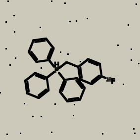 [18F]c1ccc(C[PH](c2ccccc2)(c2ccccc2)c2ccccc2)cc1